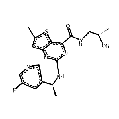 Cc1cc2nc(N[C@@H](C)c3cncc(F)c3)nc(C(=O)NC[C@H](C)O)c2s1